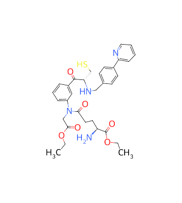 CCOC(=O)CN(C(=O)CC[C@H](N)C(=O)OCC)c1cccc(C(=O)[C@H](CS)NCc2ccc(-c3ccccn3)cc2)c1